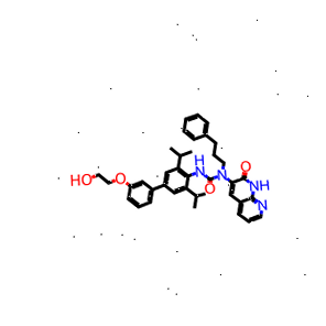 CC(C)c1cc(-c2cccc(OCCO)c2)cc(C(C)C)c1NC(=O)N(CCCc1ccccc1)c1cc2cccnc2[nH]c1=O